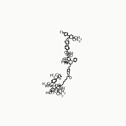 Cc1ncsc1-c1ccc([C@H](C)NC(=O)[C@@H]2C[C@@H](O)CN2C(=O)C(NC(=O)CCCCCCC(=O)N2CC3CN(CCC(CSc4ccccc4)Nc4ccc(S(=O)(=O)NC(=O)c5ccc(N6CCN(CC7=C(c8ccc(Cl)cc8)CCC(C)(C)C7)CC6)cc5)cc4S(=O)(=O)C(F)(F)F)CC3C2)C(C)(C)C)cc1